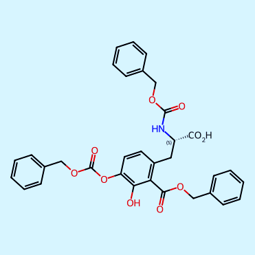 O=C(N[C@@H](Cc1ccc(OC(=O)OCc2ccccc2)c(O)c1C(=O)OCc1ccccc1)C(=O)O)OCc1ccccc1